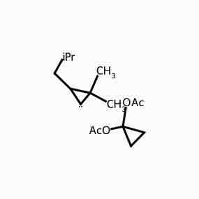 CC(=O)OC1(OC(C)=O)CC1.CC(C)CC1[C]C1(C)C